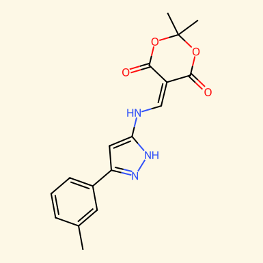 Cc1cccc(-c2cc(NC=C3C(=O)OC(C)(C)OC3=O)[nH]n2)c1